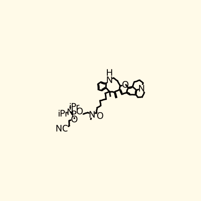 C=C1C2=Cc3cc4c5c(c3OC2CCNc2ccccc2C1(C)CCCCCC(=O)N(C)CCOP(OCCC#N)N(C(C)C)C(C)C)CCCN5CCC4